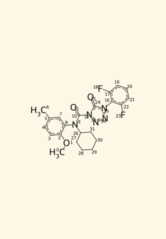 COc1ccc(C)cc1N(C(=O)n1nnn(-c2c(F)cccc2F)c1=O)C1CCCCC1